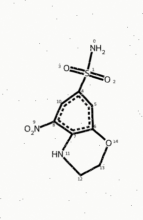 NS(=O)(=O)c1cc2c(c([N+](=O)[O-])c1)NCCO2